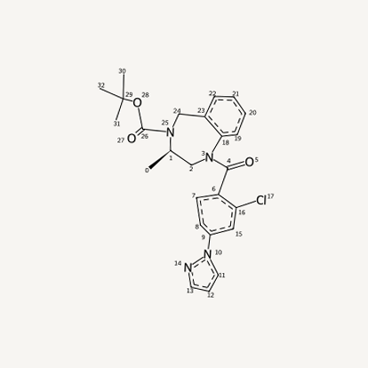 C[C@@H]1CN(C(=O)c2ccc(-n3cccn3)cc2Cl)c2ccccc2CN1C(=O)OC(C)(C)C